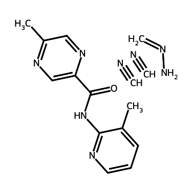 C#N.C#N.C=NN.Cc1cnc(C(=O)Nc2ncccc2C)cn1